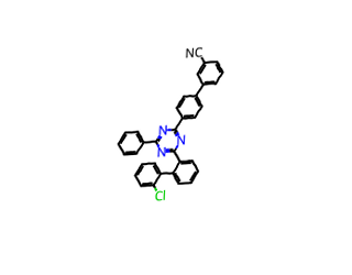 N#Cc1cccc(-c2ccc(-c3nc(-c4ccccc4)nc(-c4ccccc4-c4ccccc4Cl)n3)cc2)c1